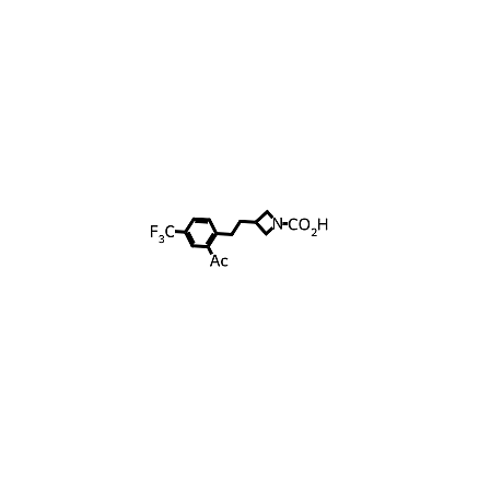 CC(=O)c1cc(C(F)(F)F)ccc1CCC1CN(C(=O)O)C1